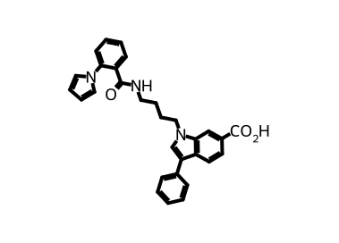 O=C(O)c1ccc2c(-c3ccccc3)cn(CCCCNC(=O)c3ccccc3-n3cccc3)c2c1